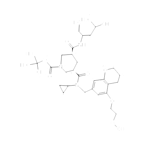 COCCOc1cc(CN(C(=O)[C@@H]2C[C@H](C(=O)NC(CO)CC(C)C)CN(C(=O)OC(C)(C)C)C2)C2CC2)cc2c1CCCO2